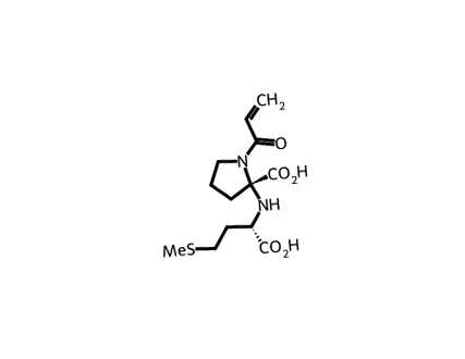 C=CC(=O)N1CCC[C@]1(N[C@@H](CCSC)C(=O)O)C(=O)O